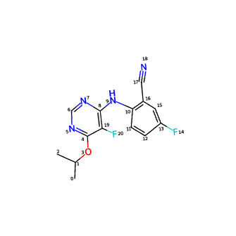 CC(C)Oc1ncnc(Nc2ccc(F)cc2C#N)c1F